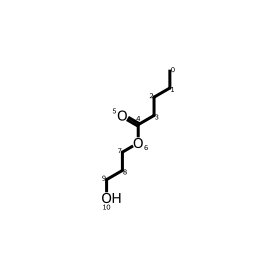 CCCCC(=O)OCCCO